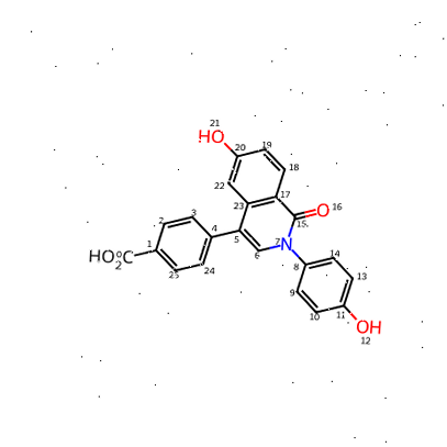 O=C(O)c1ccc(-c2cn(-c3ccc(O)cc3)c(=O)c3ccc(O)cc23)cc1